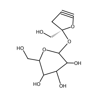 OCC1OC(O[C@@]2(CO)CC#CO2)C(O)C(O)C1O